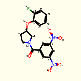 O=C(c1cc([N+](=O)[O-])cc([N+](=O)[O-])c1)N1CCC(Oc2ccccc2F)C1